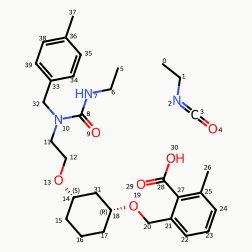 CCN=C=O.CCNC(=O)N(CCO[C@H]1CCC[C@@H](OCc2cccc(C)c2C(=O)O)C1)Cc1ccc(C)cc1